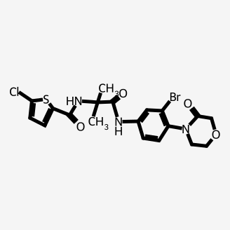 CC(C)(NC(=O)c1ccc(Cl)s1)C(=O)Nc1ccc(N2CCOCC2=O)c(Br)c1